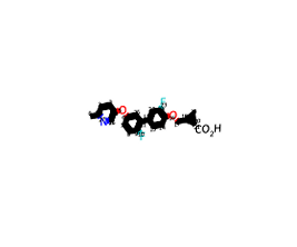 Cc1ccc(Oc2ccc(F)c(-c3ccc(OCC4CC4C(=O)O)c(F)c3)c2)cn1